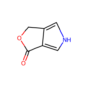 O=C1OCc2c[nH]cc21